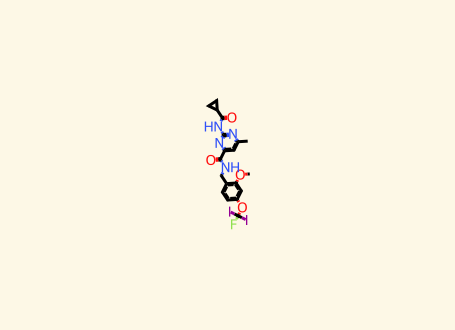 COc1cc(OC(F)(I)I)ccc1CNC(=O)c1cc(C)nc(NC(=O)C2CC2)n1